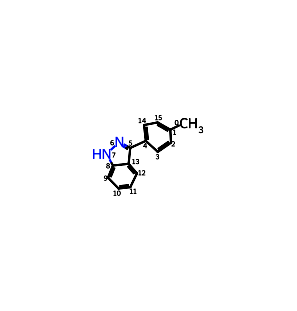 Cc1ccc(-c2n[nH]c3ccccc23)cc1